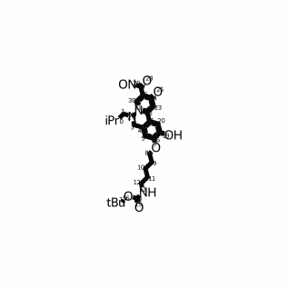 CC(C)CN1Cc2cc(OCCCCCNC(=O)OC(C)(C)C)c(O)cc2-c2cc(=O)c(C(=O)N=O)cn21